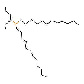 CC/C=C(\CC)P(CCCCCCCCCCCC)CCCCCCCCCCCC